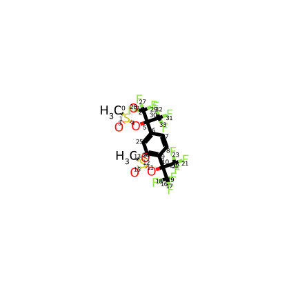 CS(=O)(=O)OC(c1ccc(C(OS(C)(=O)=O)(C(F)(F)F)C(F)(F)F)cc1)(C(F)(F)F)C(F)(F)F